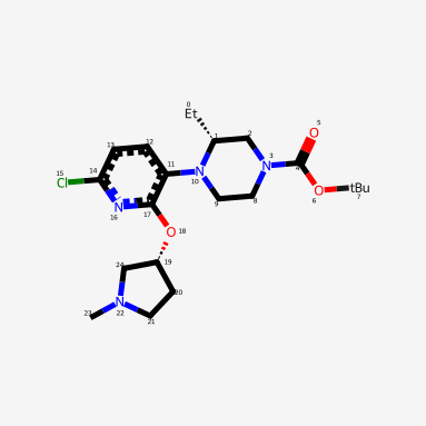 CC[C@@H]1CN(C(=O)OC(C)(C)C)CCN1c1ccc(Cl)nc1O[C@@H]1CCN(C)C1